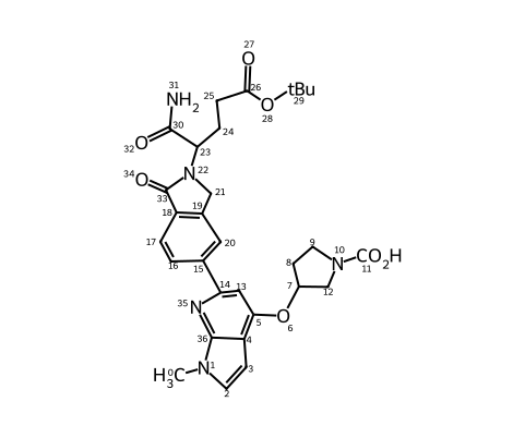 Cn1ccc2c(OC3CCN(C(=O)O)C3)cc(-c3ccc4c(c3)CN(C(CCC(=O)OC(C)(C)C)C(N)=O)C4=O)nc21